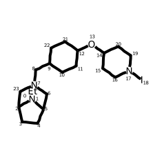 CCN1C2CCC1CN(CC1CCC(OC3CCN(I)CC3)CC1)C2